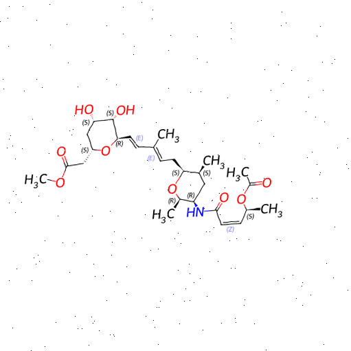 COC(=O)C[C@@H]1C[C@H](O)[C@H](O)[C@@H](/C=C/C(C)=C/C[C@@H]2O[C@H](C)[C@H](NC(=O)/C=C\[C@H](C)OC(C)=O)C[C@@H]2C)O1